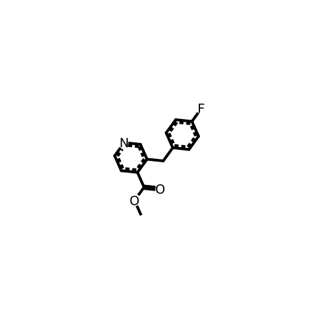 COC(=O)c1ccncc1Cc1ccc(F)cc1